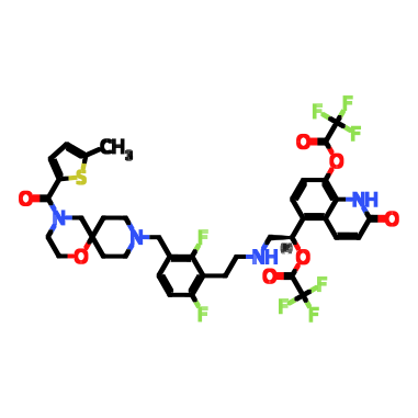 Cc1ccc(C(=O)N2CCOC3(CCN(Cc4ccc(F)c(CCNC[C@H](OC(=O)C(F)(F)F)c5ccc(OC(=O)C(F)(F)F)c6[nH]c(=O)ccc56)c4F)CC3)C2)s1